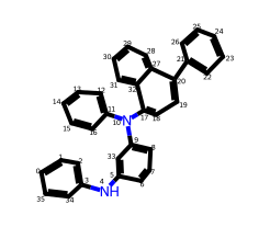 c1ccc(Nc2cccc(N(c3ccccc3)c3ccc(-c4ccccc4)c4ccccc34)c2)cc1